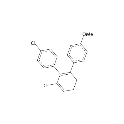 COc1ccc(C2=C(c3ccc(Cl)cc3)C(Cl)=CC[CH]2)cc1